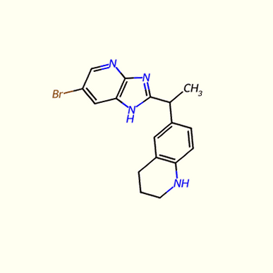 CC(c1ccc2c(c1)CCCN2)c1nc2ncc(Br)cc2[nH]1